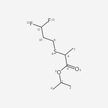 CC(C)OC(=O)C(C)SCCC(F)F